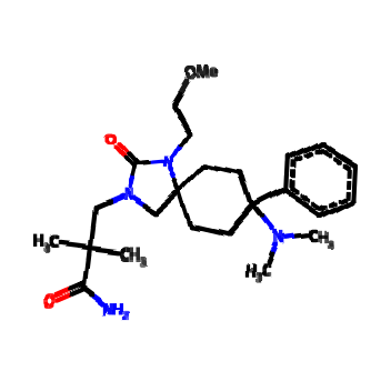 COCCN1C(=O)N(CC(C)(C)C(N)=O)CC12CCC(c1ccccc1)(N(C)C)CC2